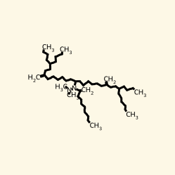 C=C(CCCCCCC(CCCCCCC(=C)CCC(CCCC)CCCCCC)N(C(=C)CCCCCCCC)N(C)C)CCC(CCCC)CCCC